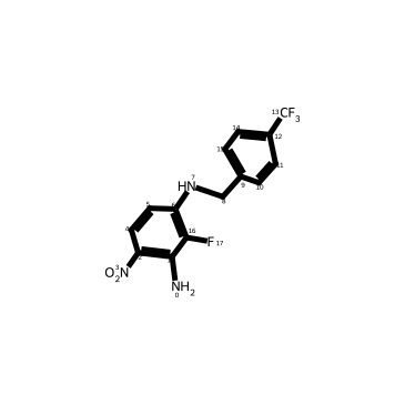 Nc1c([N+](=O)[O-])ccc(NCc2ccc(C(F)(F)F)cc2)c1F